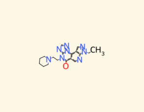 CCn1ncc2c1ncc1c(=O)n(CCN3CCCCC3)c3ncnn3c12